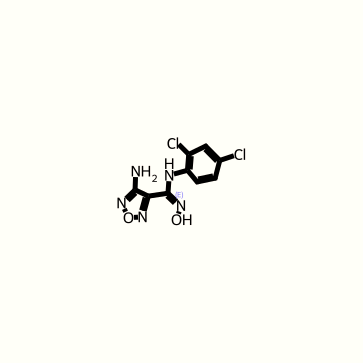 Nc1nonc1/C(=N\O)Nc1ccc(Cl)cc1Cl